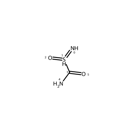 N=[SH](=O)C(N)=O